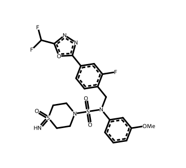 COc1cccc(N(Cc2ccc(-c3nnc(C(F)F)o3)cc2F)S(=O)(=O)N2CCS(=N)(=O)CC2)c1